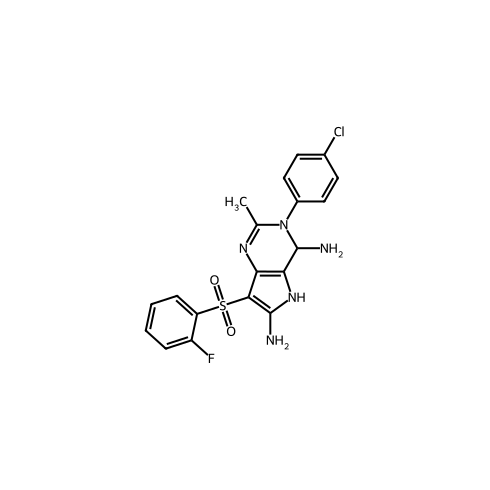 CC1=Nc2c([nH]c(N)c2S(=O)(=O)c2ccccc2F)C(N)N1c1ccc(Cl)cc1